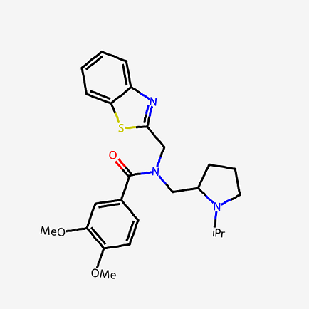 COc1ccc(C(=O)N(Cc2nc3ccccc3s2)CC2CCCN2C(C)C)cc1OC